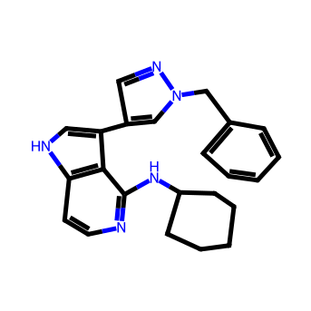 c1ccc(Cn2cc(-c3c[nH]c4ccnc(NC5CCCCC5)c34)cn2)cc1